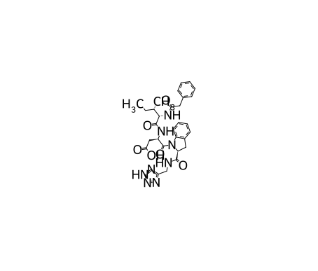 CC[C@H](C)[C@H](NC(=O)Cc1ccccc1)C(=O)N[C@H](CC(=O)O)C(=O)N1c2ccccc2C[C@H]1C(=O)NCc1nn[nH]n1